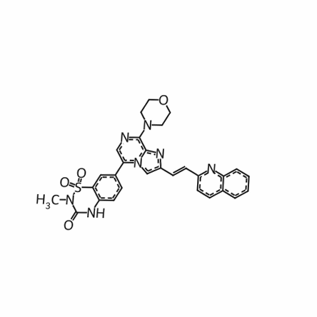 CN1C(=O)Nc2ccc(-c3cnc(N4CCOCC4)c4nc(/C=C/c5ccc6ccccc6n5)cn34)cc2S1(=O)=O